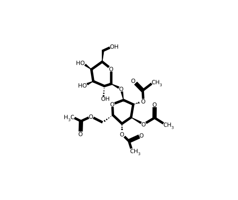 CC(=O)OC[C@@H]1O[C@@H](O[C@@H]2O[C@H](CO)[C@H](O)[C@H](O)[C@H]2O)[C@H](OC(C)=O)[C@@H](OC(C)=O)[C@@H]1OC(C)=O